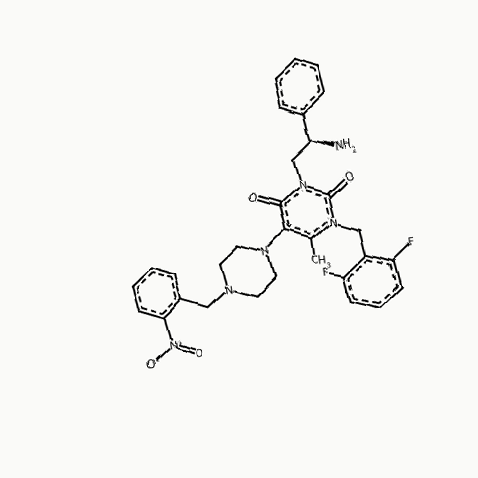 Cc1c(N2CCN(Cc3ccccc3[N+](=O)[O-])CC2)c(=O)n(C[C@H](N)c2ccccc2)c(=O)n1Cc1c(F)cccc1F